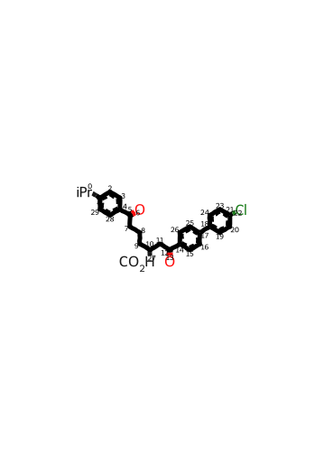 CC(C)c1ccc(C(=O)CCCC(CC(=O)c2ccc(-c3ccc(Cl)cc3)cc2)C(=O)O)cc1